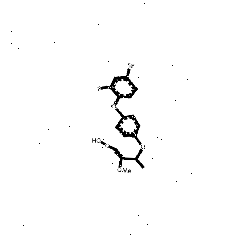 COC(=CCO)C(C)Oc1ccc(Oc2ccc(Br)cc2F)cc1